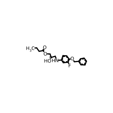 CCCC(=O)OC[C@H](O)CNc1ccc(OCc2ccccc2)c(F)c1